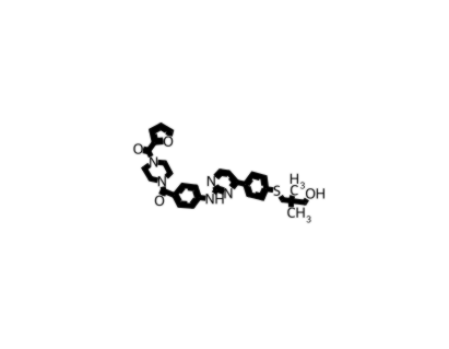 CC(C)(CO)CSc1ccc(-c2ccnc(Nc3ccc(C(=O)N4CCN(C(=O)c5ccco5)CC4)cc3)n2)cc1